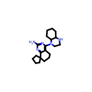 Nc1nc(N2CCNC3CCCCC32)c2c(n1)C1(CCCC1)CCC2